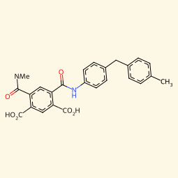 CNC(=O)c1cc(C(=O)Nc2ccc(Cc3ccc(C)cc3)cc2)c(C(=O)O)cc1C(=O)O